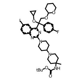 CC1(NC(=O)OC(C)(C)C)CCN(C2CCN(c3nc(C(COC4CCCCO4)(OC4CC4)c4ccc(F)cc4)c4cc(I)ccc4n3)CC2)CC1